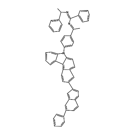 C/C(=N\C(=N/C(C)c1ccccc1)c1ccccc1)c1ccc(-n2c3ccccc3c3c4ccc(-c5ccc6ccc(-c7ccccc7)cc6c5)cc4ccc32)cc1